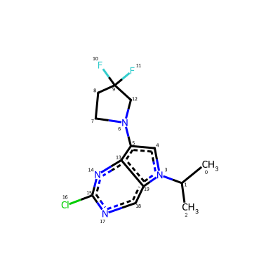 CC(C)n1cc(N2CCC(F)(F)C2)c2nc(Cl)ncc21